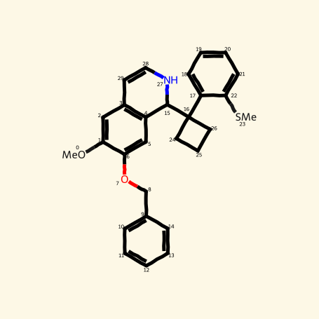 COc1cc2c(cc1OCc1ccccc1)C(C1(c3ccccc3SC)CCC1)NC=C2